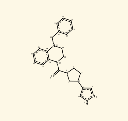 O=C(N1CCC(c2cn[nH]c2)C1)N1CCN(Cc2ccccc2)c2ccccc21